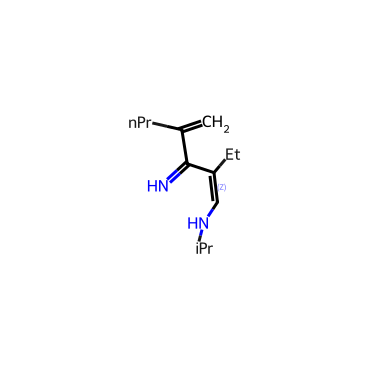 C=C(CCC)C(=N)/C(=C\NC(C)C)CC